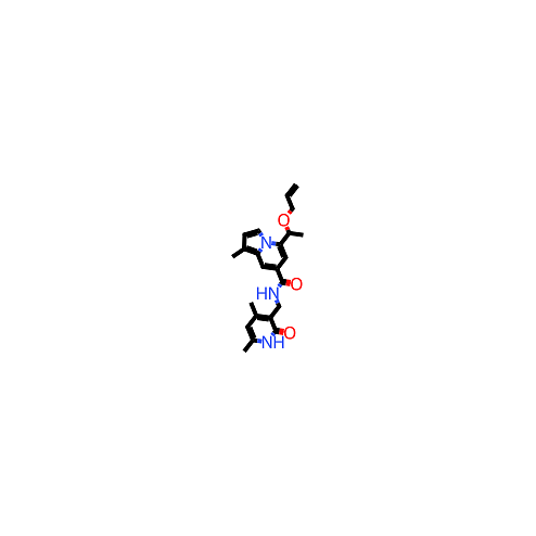 C=CCOC(C)c1cc(C(=O)NCc2c(C)cc(C)[nH]c2=O)cc2c(C)ccn12